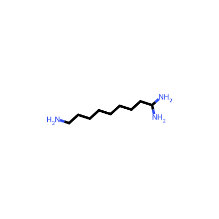 NCCCCCCCCC(N)N